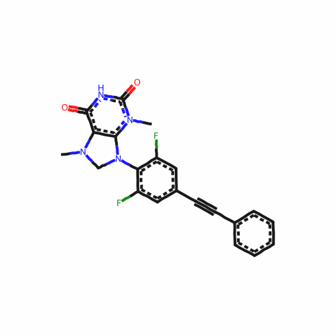 CN1CN(c2c(F)cc(C#Cc3ccccc3)cc2F)c2c1c(=O)[nH]c(=O)n2C